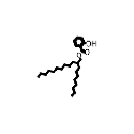 CCCCCCCCCCC(CCCCCCCC)COC(=O)c1ccccc1O